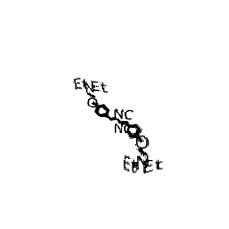 [C-]#[N+]C(=C\c1ccc(OCCN(CC)CC)cc1)/C(=C/c1ccc(OCCN(CC)CC)cc1)[N+]#[C-]